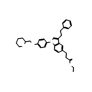 CCOC(=O)CCc1ccc2c(c1)c(CCc1ccccc1)cn2-c1ccc(OCC2CCCCO2)cc1